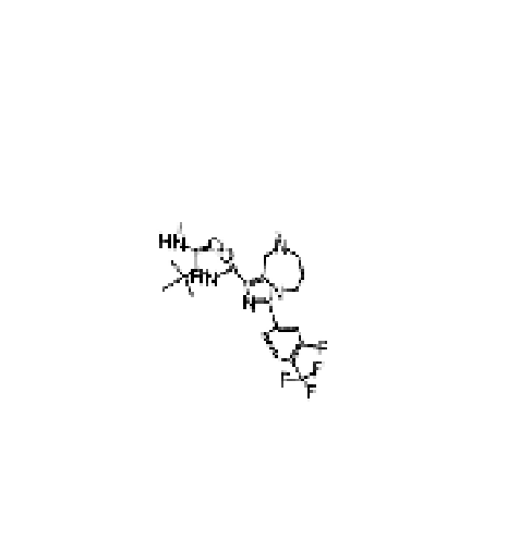 CNC(=O)[C@@H](NC(=O)c1nc(-c2ccc(C(F)(F)F)c(F)c2)n2c1CN(C)CCC2)C(C)(C)C